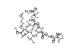 COCCCOc1cc(C[C@@H](C[C@H]2[C@H](C[C@H](C(=O)NCC(C)(C)C(N)=O)C(C)C)OCN2C(=O)OCOC(=O)C2(N)CC2)C(C)C)ccc1OC